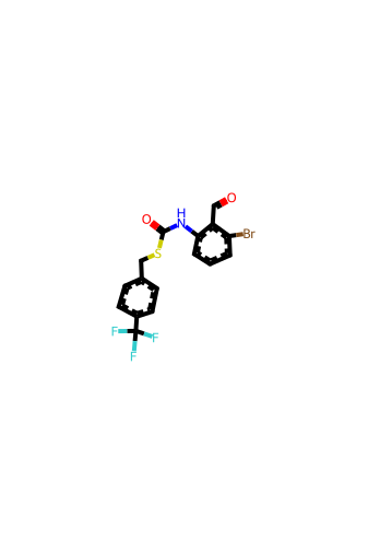 O=Cc1c(Br)cccc1NC(=O)SCc1ccc(C(F)(F)F)cc1